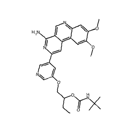 CCC(COc1cncc(-c2cc3c(cnc4cc(OC)c(OC)cc43)c(N)n2)c1)OC(=O)NC(C)(C)C